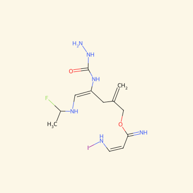 C=C(COC(=N)/C=C\NI)C/C(=C\NC(C)F)NC(=O)NN